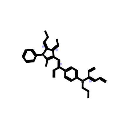 C=C/C=C(\C=C)N(CCC)c1ccc(/C(C=C)=C/c2c(C)n(-c3ccccc3)c(=C/CC)/c2=C\C)cc1